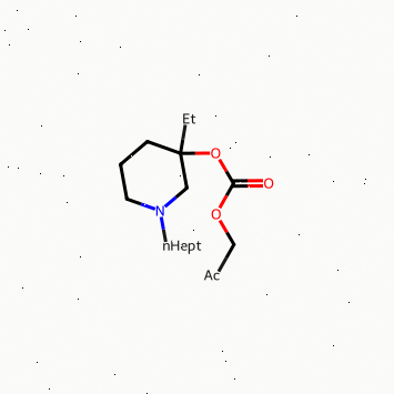 CCCCCCCN1CCCC(CC)(OC(=O)OCC(C)=O)C1